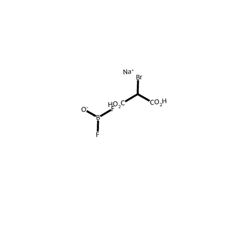 O=C(O)C(Br)C(=O)O.[Na+].[O-]B(F)F